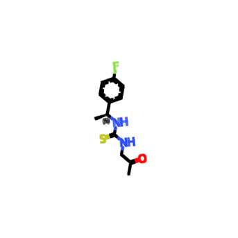 CC(=O)CNC(=S)N[C@@H](C)c1ccc(F)cc1